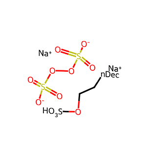 CCCCCCCCCCCCOS(=O)(=O)O.O=S(=O)([O-])OOS(=O)(=O)[O-].[Na+].[Na+]